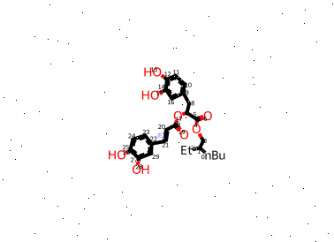 CCCCC(CC)COC(=O)C(Cc1ccc(O)c(O)c1)OC(=O)/C=C/c1ccc(O)c(O)c1